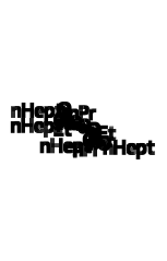 CCCCCCCOC(CCC)=C(OCCCCCCC)C(CC)OCOCOC(CC)C(OCCCCCCC)=C(CCC)OCCCCCCC